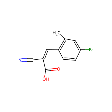 Cc1cc(Br)ccc1C=C(C#N)C(=O)O